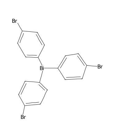 Brc1cc[c]([Bi]([c]2ccc(Br)cc2)[c]2ccc(Br)cc2)cc1